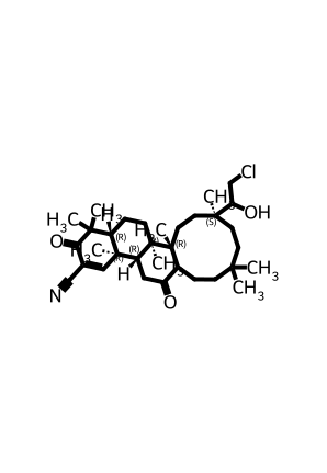 CC1(C)CCC2C(=O)C[C@@H]3[C@@]4(C)C=C(C#N)C(=O)C(C)(C)[C@@H]4CC[C@@]3(C)[C@]2(C)CC[C@@](C)(C(O)CCl)CC1